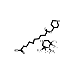 CN1C(C)(C)CNCC1(C)C.O=C(O)CCCCCCCCC(=O)OC1CCNCC1